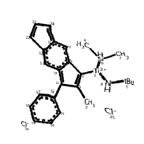 CC1=[C]([Ti+2]([NH]C(C)(C)C)[SiH](C)C)c2cc3c(cc2=C1c1ccccc1)C=CC=3.[Cl-].[Cl-]